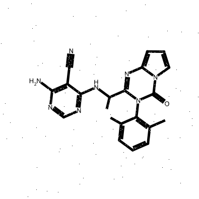 Cc1cccc(C)c1-n1c(C(C)Nc2ncnc(N)c2C#N)nc2cccn2c1=O